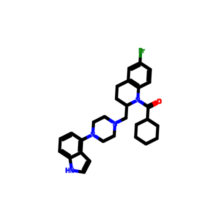 O=C(C1CCCCC1)N1c2ccc(Br)cc2CCC1CN1CCN(c2cccc3[nH]ccc23)CC1